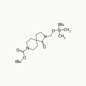 CC(C)(C)OC(=O)N1CCC2(CC1)CCN(CO[Si](C)(C)C(C)(C)C)C2=O